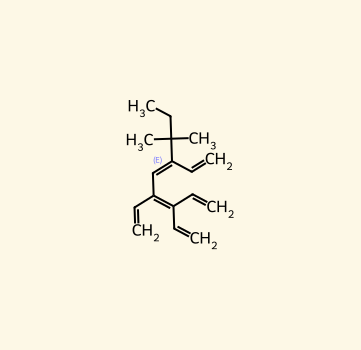 C=CC(C=C)=C(C=C)/C=C(\C=C)C(C)(C)CC